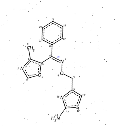 Cc1ncoc1/C(=N\OCc1csc(N)n1)c1ccccc1